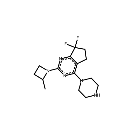 CC1CCN1c1nc(N2CCNCC2)c2c(n1)C(F)(F)CC2